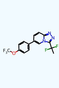 CC(F)(F)c1nnc2ccc(-c3ccc(OC(F)(F)F)cc3)cn12